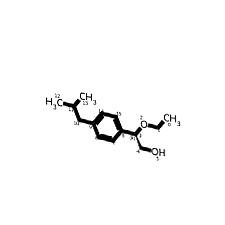 CCO[C@@H](CO)c1ccc(CC(C)C)cc1